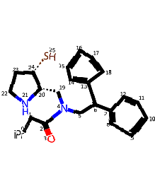 CC(C)CC(=O)N(CC(c1ccccc1)c1ccccc1)C[C@@H]1NCC[C@@H]1S